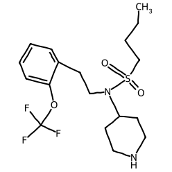 CCCCS(=O)(=O)N(CCc1ccccc1OC(F)(F)F)C1CCNCC1